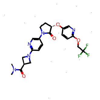 CN(C)C(=O)C1CN(c2ccc(N3CC[C@H](Oc4ccc(OCC(F)(F)F)nc4)C3=O)cn2)C1